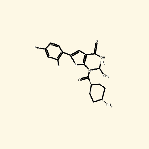 CC(C)N(c1sc(-c2ccc(F)cc2F)cc1C(=O)O)C(=O)[C@H]1CC[C@H](C)CC1